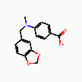 CN(Cc1ccc2c(c1)OCO2)c1ccc(C(=O)O)cc1